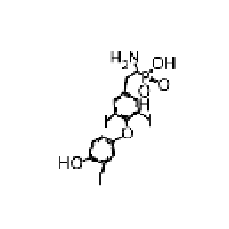 NC(Cc1cc(I)c(Oc2ccc(O)c(I)c2)c(I)c1)P(=O)(O)O